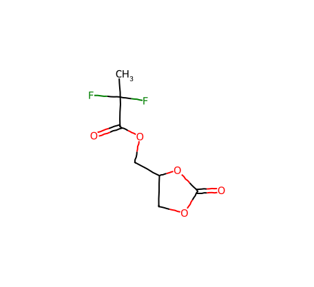 CC(F)(F)C(=O)OCC1COC(=O)O1